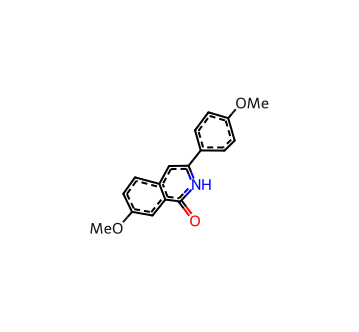 COc1ccc(-c2cc3ccc(OC)cc3c(=O)[nH]2)cc1